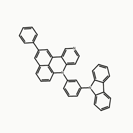 c1ccc(-c2cc3c4c(cccc4c2)N(c2cccc(-n4c5ccccc5c5ccccc54)c2)c2ccncc2-3)cc1